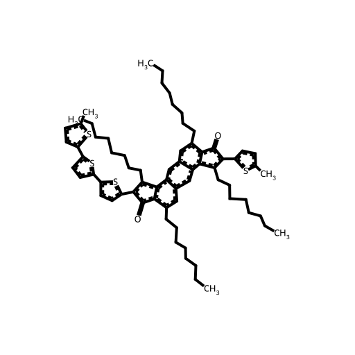 CCCCCCCCc1cc2cc3c(cc(CCCCCCCC)c4c(=O)c(-c5ccc(-c6ccc(-c7ccc(C)s7)s6)s5)c(CCCCCCCC)c43)cc2c2c(CCCCCCCC)c(-c3ccc(C)s3)c(=O)c12